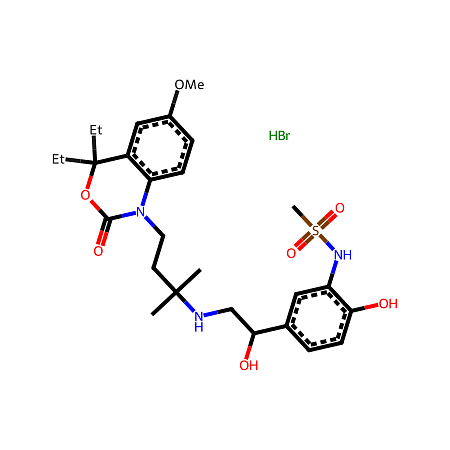 Br.CCC1(CC)OC(=O)N(CCC(C)(C)NCC(O)c2ccc(O)c(NS(C)(=O)=O)c2)c2ccc(OC)cc21